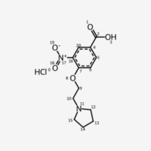 Cl.O=C(O)c1ccc(OCCN2CCCC2)c([N+](=O)[O-])c1